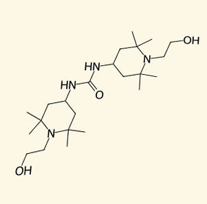 CC1(C)CC(NC(=O)NC2CC(C)(C)N(CCO)C(C)(C)C2)CC(C)(C)N1CCO